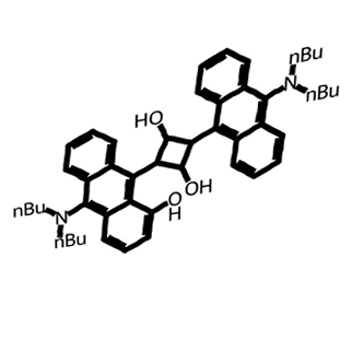 CCCCN(CCCC)c1c2ccccc2c(C2C(O)C(c3c4ccccc4c(N(CCCC)CCCC)c4cccc(O)c34)C2O)c2ccccc12